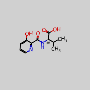 CC(C)[C@@H](NC(=O)c1ncccc1O)C(=O)O